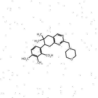 Cc1c(C(=O)O)ccc(C2Cc3nc(CN4CCOCC4)ncc3CC2(C)C)c1C(=O)O